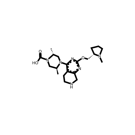 C[C@@H]1CN(c2nc(OC[C@@H]3CCCN3C)nc3c2CCNC3)[C@@H](C)CN1C(=O)O